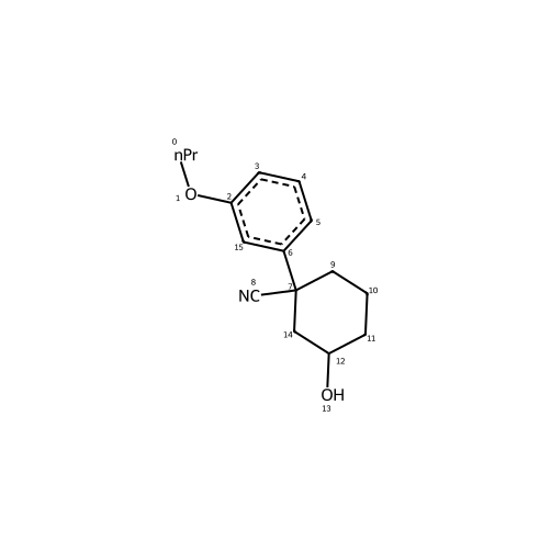 CCCOc1cccc(C2(C#N)CCCC(O)C2)c1